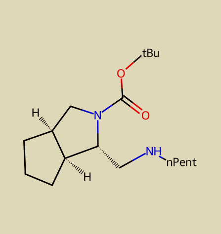 CCCCCNC[C@@H]1[C@H]2CCC[C@H]2CN1C(=O)OC(C)(C)C